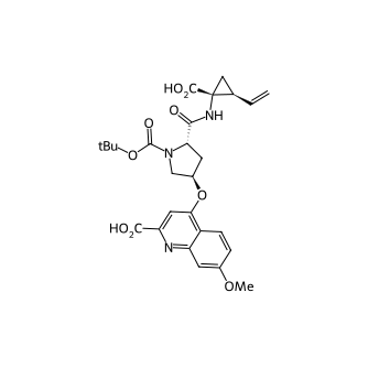 C=C[C@@H]1C[C@]1(NC(=O)[C@@H]1C[C@@H](Oc2cc(C(=O)O)nc3cc(OC)ccc23)CN1C(=O)OC(C)(C)C)C(=O)O